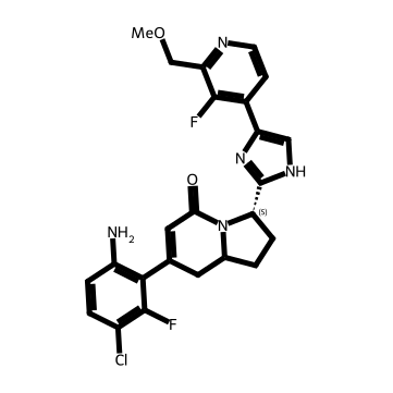 COCc1nccc(-c2c[nH]c([C@@H]3CCC4CC(c5c(N)ccc(Cl)c5F)=CC(=O)N43)n2)c1F